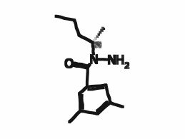 CCC[C@H](C)N(N)C(=O)c1cc(C)cc(C)c1